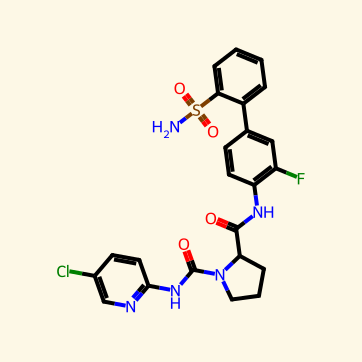 NS(=O)(=O)c1ccccc1-c1ccc(NC(=O)C2CCCN2C(=O)Nc2ccc(Cl)cn2)c(F)c1